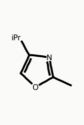 Cc1nc(C(C)C)co1